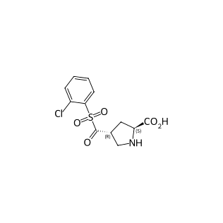 O=C(O)[C@@H]1C[C@@H](C(=O)S(=O)(=O)c2ccccc2Cl)CN1